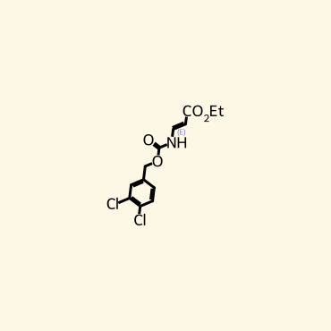 CCOC(=O)/C=C/NC(=O)OCc1ccc(Cl)c(Cl)c1